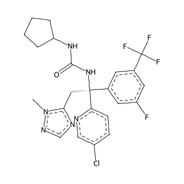 Cn1ncnc1C[C@](NC(=O)NC1CCCC1)(c1cc(F)cc(C(F)(F)F)c1)c1ccc(Cl)cn1